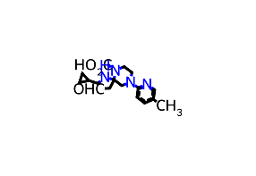 Cc1ccc(N2CCN(C(=O)O)C(CC=O)(NCC3CC3)C2)nc1